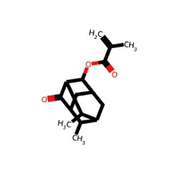 C=C(C)C(=O)OC1C2CC3C(=O)C1C(C)C(C2)C3C